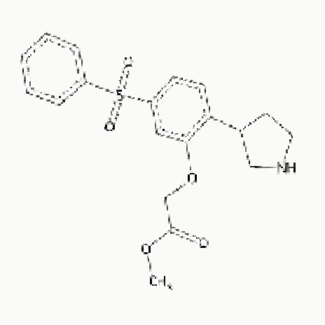 COC(=O)COc1cc(S(=O)(=O)c2ccccc2)ccc1C1CCNC1